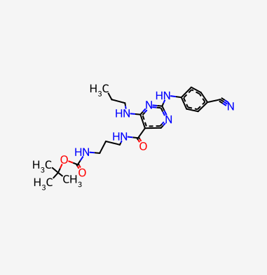 CCCNc1nc(Nc2ccc(C#N)cc2)ncc1C(=O)NCCCNC(=O)OC(C)(C)C